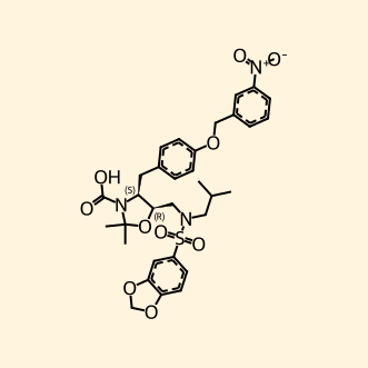 CC(C)CN(C[C@H]1OC(C)(C)N(C(=O)O)[C@H]1Cc1ccc(OCc2cccc([N+](=O)[O-])c2)cc1)S(=O)(=O)c1ccc2c(c1)OCO2